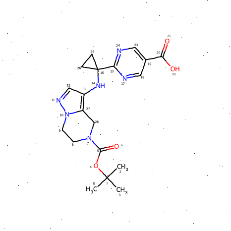 CC(C)(C)OC(=O)N1CCn2ncc(NC3(c4ncc(C(=O)O)cn4)CC3)c2C1